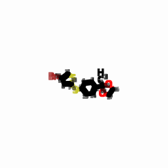 CC1(c2ccc(Sc3cc(Br)cs3)cc2)OCCO1